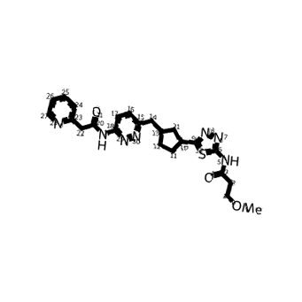 COCCC(=O)Nc1nnc(C2CCC(Cc3ccc(NC(=O)Cc4ccccn4)nn3)C2)s1